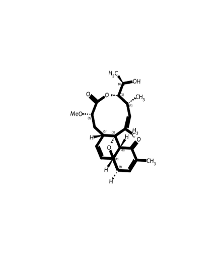 CO[C@H]1C[C@H]2C=C[C@H]3[C@@H]4C=C(C)C(=O)[C@H]3[C@]2(O4)C(C)=C[C@@H](C)[C@@H]([C@@H](C)O)OC1=O